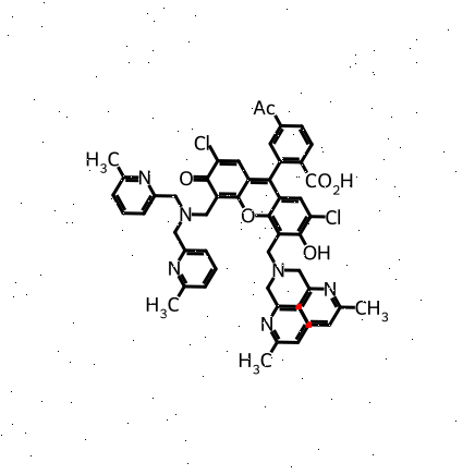 CC(=O)c1ccc(C(=O)O)c(-c2c3cc(Cl)c(=O)c(CN(Cc4cccc(C)n4)Cc4cccc(C)n4)c-3oc3c(CN(Cc4cccc(C)n4)Cc4cccc(C)n4)c(O)c(Cl)cc23)c1